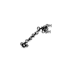 O=C(O)OC1(OC(=O)O)CC(C(=O)CCOCCOCCOCCOCCN2C(=O)C=CC2=O)C1